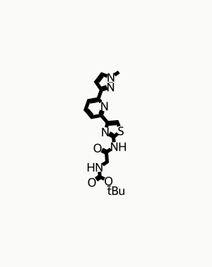 Cn1ccc(-c2cccc(-c3csc(NC(=O)CNC(=O)OC(C)(C)C)n3)n2)n1